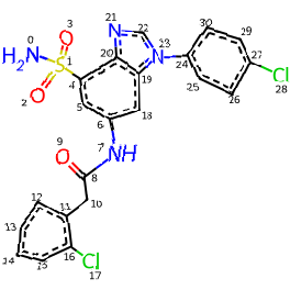 NS(=O)(=O)c1cc(NC(=O)Cc2ccccc2Cl)cc2c1ncn2-c1ccc(Cl)cc1